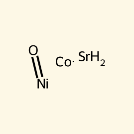 [Co].[O]=[Ni].[SrH2]